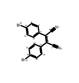 N#C/C(=C(\C#N)c1ccc(Br)cc1)c1ccc(Br)cc1